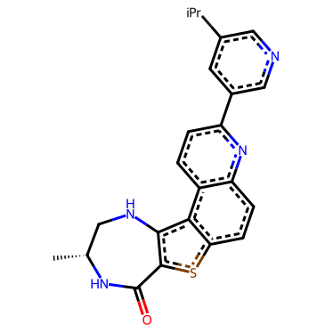 CC(C)c1cncc(-c2ccc3c(ccc4sc5c(c43)NC[C@@H](C)NC5=O)n2)c1